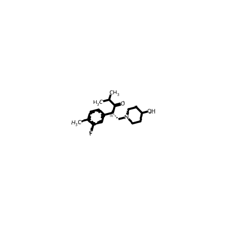 Cc1ccc([C@@H](CN2CCC(O)CC2)C(=O)C(C)C)cc1F